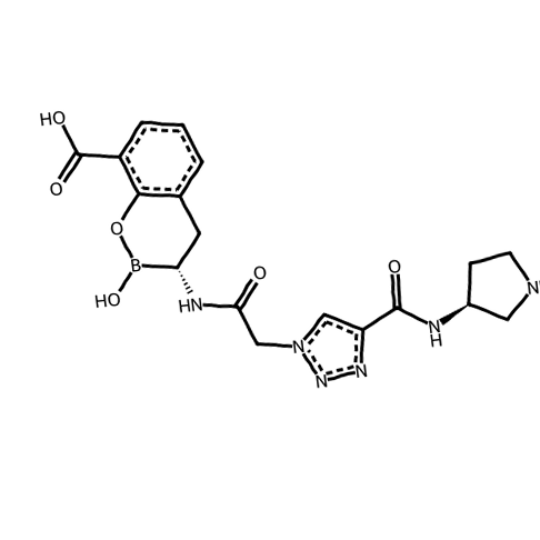 O=C(Cn1cc(C(=O)N[C@H]2CCNC2)nn1)N[C@H]1Cc2cccc(C(=O)O)c2OB1O